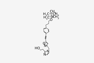 CC(C)(C)[Si](C)(C)OCCCc1ccc(C#Cc2cc(Cn3ccnc3CCO)no2)cc1